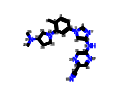 Cc1ccc(-n2cnc(Nc3cnc(C#N)cn3)c2)cc1N1CC[C@@H](N(C)C)C1